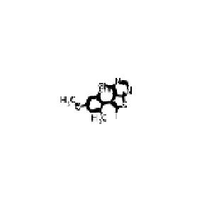 COc1cc(C)c(-c2c(I)sc3ncnc(Cl)c23)c(C)c1